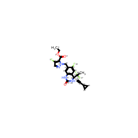 CCOC(=O)c1c(F)cnn1Cc1cc2c(cc1F)[C@@](C#CC1CC1)(C(C)(F)F)NC(=O)N2